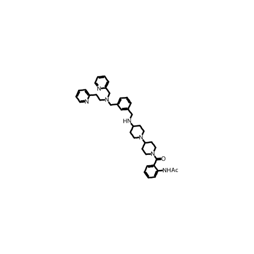 CC(=O)Nc1ccccc1C(=O)N1CCC(N2CCC(NCc3cccc(CN(CCc4ccccn4)Cc4ccccn4)c3)CC2)CC1